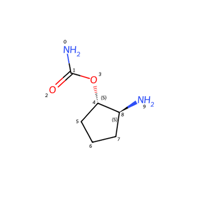 NC(=O)O[C@H]1CCC[C@@H]1N